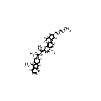 C=N/C(Sc1ccnc2c1OCC1C[C@H](COCOC)CN21)=C(N)\N=C(/C)N1CCC2(CC1)Cc1ncccc1[C@H]2N